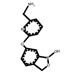 NCc1cccc(Oc2ccc3c(c2)B(O)OC3)n1